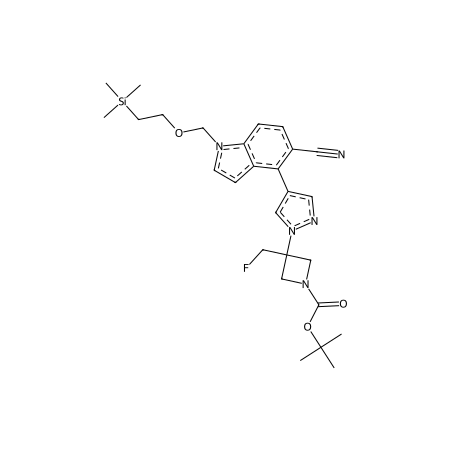 CC(C)(C)OC(=O)N1CC(CF)(n2cc(-c3c(C#N)ccc4c3ccn4COCC[Si](C)(C)C)cn2)C1